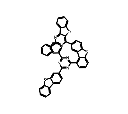 c1ccc(-c2nc(-c3ccc4c(c3)sc3ccccc34)nc(-c3cccc4sc5ccc(-c6nc(-c7ccccc7)nc7c6oc6ccccc67)cc5c34)n2)cc1